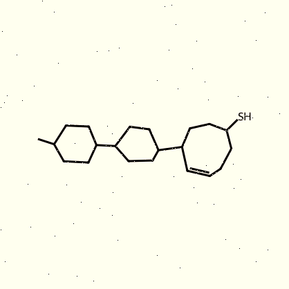 CC1CCC(C2CCC(C3C=CCCC(S)CC3)CC2)CC1